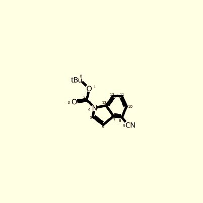 CC(C)(C)OC(=O)n1ccc2c(C#N)cccc21